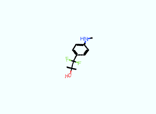 CNc1ccc(C(F)(F)C(C)(C)O)cc1